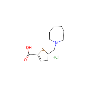 Cl.O=C(O)c1ccc(CN2CCCCCC2)s1